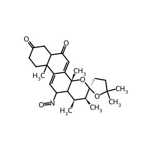 C[C@H]1C2C(N=O)C=C3C(=CC(=O)C4CC(=O)CCC34C)[C@]2(C)O[C@]2(CCC(C)(C)O2)[C@H]1C